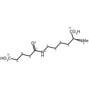 CN[C@@H](CCCCNC(=O)CCCC(=O)O)C(=O)O